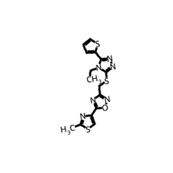 CCn1c(SCc2noc(-c3csc(C)n3)n2)nnc1-c1cccs1